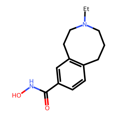 CCN1CCCc2ccc(C(=O)NO)cc2CC1